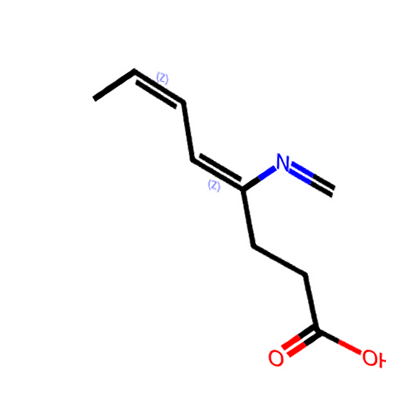 C=N/C(=C\C=C/C)CCC(=O)O